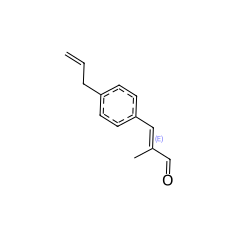 C=CCc1ccc(/C=C(\C)C=O)cc1